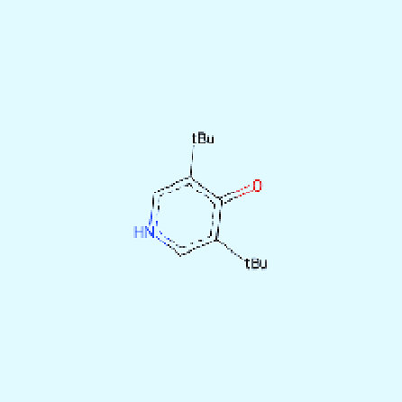 CC(C)(C)c1c[nH]cc(C(C)(C)C)c1=O